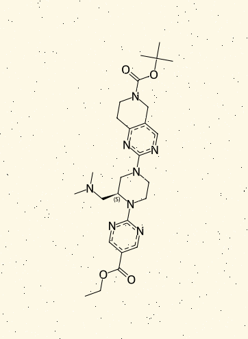 CCOC(=O)c1cnc(N2CCN(c3ncc4c(n3)CCN(C(=O)OC(C)(C)C)C4)C[C@@H]2CN(C)C)nc1